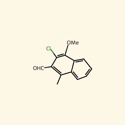 COc1c(Cl)c(C=O)c(C)c2ccccc12